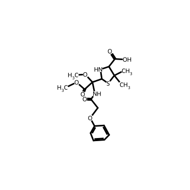 COC(=O)C(NC(=O)COc1ccccc1)(OC)C1NC(C(=O)O)C(C)(C)S1